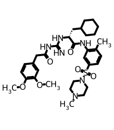 COc1ccc(CC(=O)NC(=N)N[C@H](CC2CCCCC2)C(=O)Nc2cc(S(=O)(=O)N3CCN(C)CC3)ccc2C)cc1OC